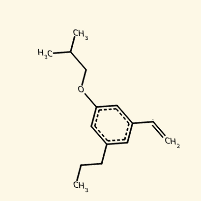 C=[C]c1cc(CCC)cc(OCC(C)C)c1